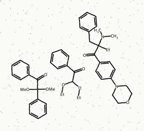 CCC(Cc1ccccc1)(C(=O)c1ccc(N2CCOCC2)cc1)N(C)C.CCOC(OCC)C(=O)c1ccccc1.COC(OC)(C(=O)c1ccccc1)c1ccccc1